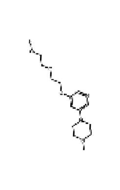 CCOCCOCCOc1cncc(N2CCN(C)CC2)c1